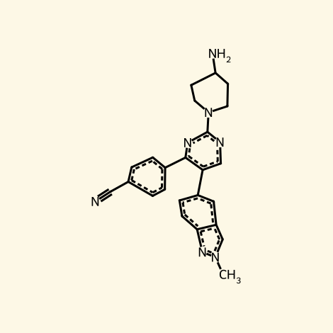 Cn1cc2cc(-c3cnc(N4CCC(N)CC4)nc3-c3ccc(C#N)cc3)ccc2n1